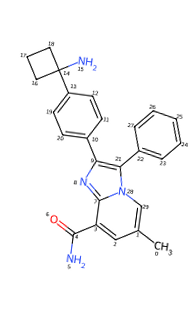 Cc1cc(C(N)=O)c2nc(-c3ccc(C4(N)CCC4)cc3)c(-c3ccccc3)n2c1